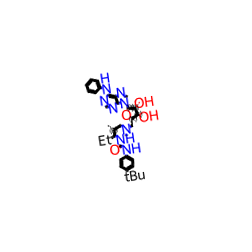 CCC(NC(=O)Nc1ccc(C(C)(C)C)cc1)[C@H](C)CN(C)C[C@H]1O[C@@H](n2cnc3c(Nc4ccccc4)ncnc32)[C@H](O)[C@H]1O